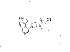 CN(C(=O)CC#N)C1CCN(c2cncc3cnc4[nH]ccc4c23)C1